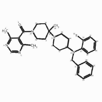 Cc1ncnc(C)c1C(=O)N1CCC(C)(N2CCC(N(Cc3ccccc3)c3ccccc3F)CC2)CC1